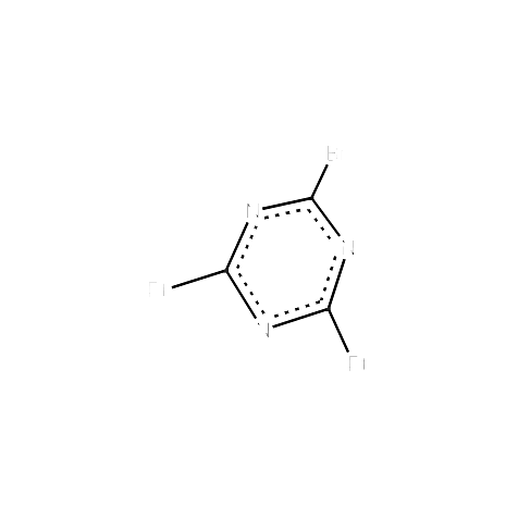 CCc1nc(Br)nc(CC)n1